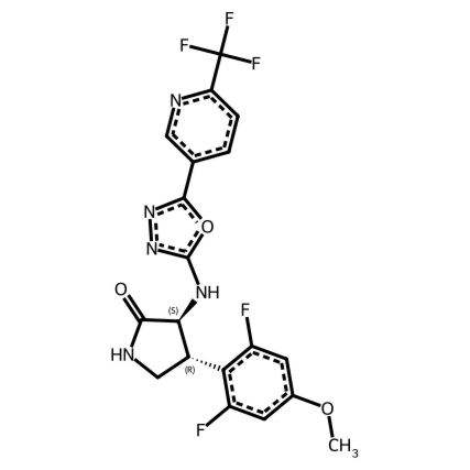 COc1cc(F)c([C@@H]2CNC(=O)[C@H]2Nc2nnc(-c3ccc(C(F)(F)F)nc3)o2)c(F)c1